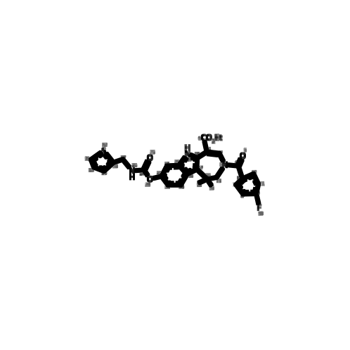 CCOC(=O)C1=CN(C(=O)c2ccc(F)cc2)CC(C)(C)c2c1[nH]c1cc(OC(=O)NCc3cccs3)ccc21